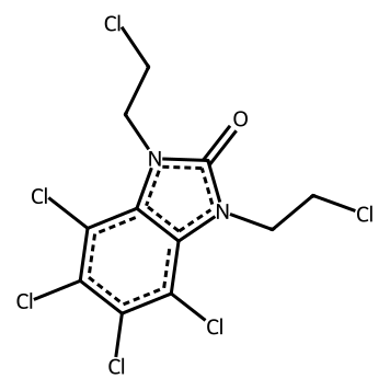 O=c1n(CCCl)c2c(Cl)c(Cl)c(Cl)c(Cl)c2n1CCCl